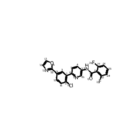 O=C(Nc1ccc(-c2cc(-c3ncco3)ccc2Cl)nc1)c1c(F)cccc1F